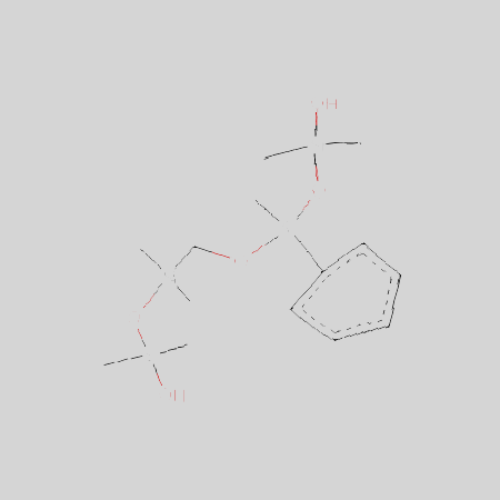 C[Si](C)(O)O[Si](C)(C)CO[Si](C)(O[Si](C)(C)O)c1ccccc1